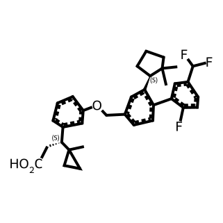 CC1(C)CCC[C@@H]1c1cc(COc2cccc([C@@H](CC(=O)O)C3(C)CC3)c2)ccc1-c1cc(C(F)F)ccc1F